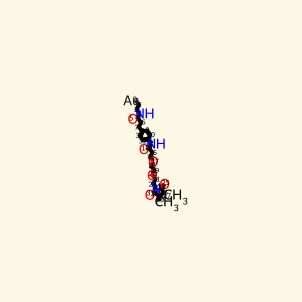 CC(=O)CCNC(=O)CCc1ccc(NC(=O)CCOCCOCCN2C(=O)C(C)C(C)C2=O)cc1